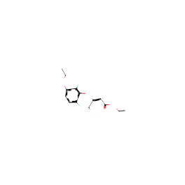 CCOC(=O)/C=C(\CBr)Oc1c(F)ccc(OCC)c1F